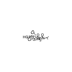 CC(C)=CCN1C(=O)C2N(C(=O)[C@@H](O)[C@H](Cc3ccccc3)NC(=O)c3cccc(O)c3C)CS[C@@]21C